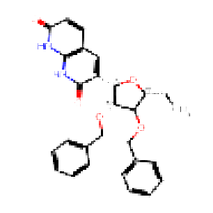 CC[C@H]1O[C@@H](c2cc3ccc(=O)[nH]c3[nH]c2=O)[C@@H](OCc2ccccc2)C1OCc1ccccc1